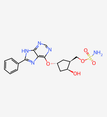 NS(=O)(=O)OC[C@@H]1C[C@@H](Oc2ncnc3[nH]c(-c4ccccc4)nc23)C[C@@H]1O